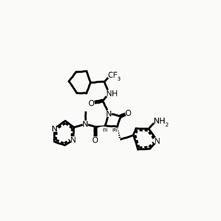 CN(C(=O)[C@@H]1[C@@H](Cc2ccnc(N)c2)C(=O)N1C(=O)NC(C1CCCCC1)C(F)(F)F)c1cnccn1